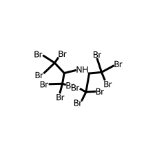 BrC(Br)(Br)C(NC(C(Br)(Br)Br)C(Br)(Br)Br)C(Br)(Br)Br